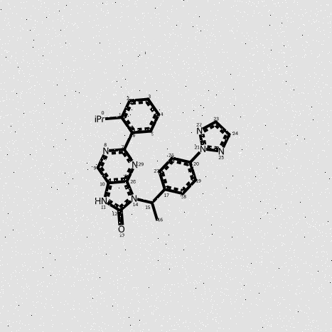 CC(C)c1ccccc1-c1ncc2[nH]c(=O)n(C(C)c3ccc(-n4nccn4)cc3)c2n1